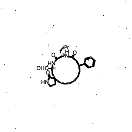 CC(C)C[C@@H]1NC(=O)CC(c2ccccc2)CCCCCCC2(CCNC2=O)C[C@@H](C=O)NC1=O